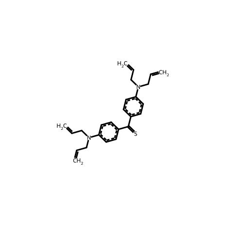 C=CCN(CC=C)c1ccc(C(=S)c2ccc(N(CC=C)CC=C)cc2)cc1